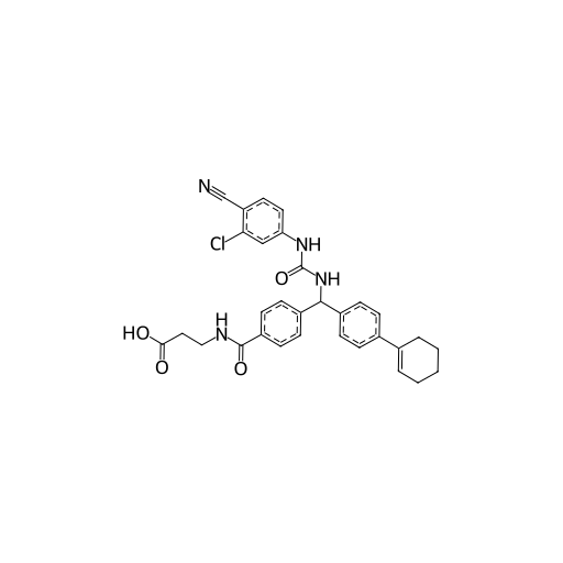 N#Cc1ccc(NC(=O)NC(c2ccc(C(=O)NCCC(=O)O)cc2)c2ccc(C3=CCCCC3)cc2)cc1Cl